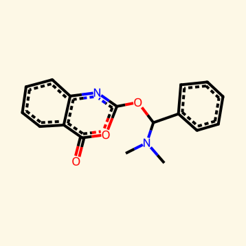 CN(C)C(Oc1nc2ccccc2c(=O)o1)c1ccccc1